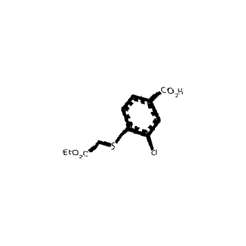 CCOC(=O)CSc1ccc(C(=O)O)cc1Cl